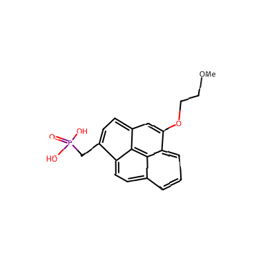 COCCOc1cc2ccc(CP(=O)(O)O)c3ccc4cccc1c4c23